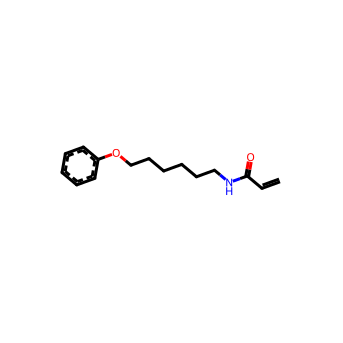 C=CC(=O)NCCCCCCOc1ccccc1